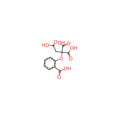 O=C(O)CC(Oc1ccccc1C(=O)O)(C(=O)O)C(=O)O